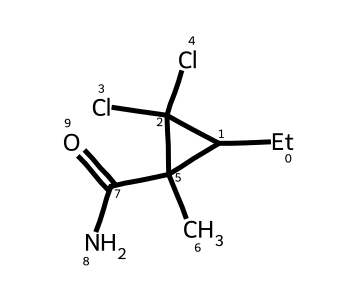 CCC1C(Cl)(Cl)C1(C)C(N)=O